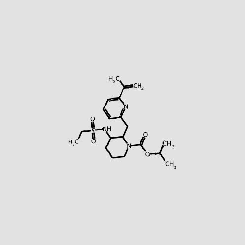 C=C(C)c1cccc(CC2C(NS(=O)(=O)CC)CCCN2C(=O)OC(C)C)n1